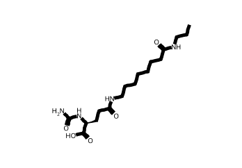 CCCNC(=O)CCCCCCCNC(=O)CC[C@H](NC(N)=O)C(=O)O